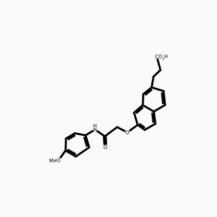 COc1ccc(NC(=O)COc2ccc3ccc(CCC(=O)O)cc3c2)cc1